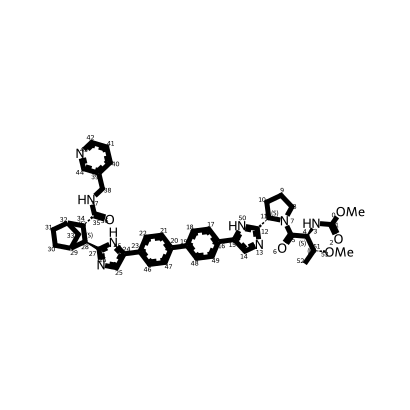 COC(=O)N[C@H](C(=O)N1CCC[C@H]1c1ncc(-c2ccc(-c3ccc(-c4cnc([C@H]5C6CCC(C6)[C@@H]5C(=O)NCc5cccnc5)[nH]4)cc3)cc2)[nH]1)[C@@H](C)OC